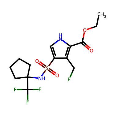 CCOC(=O)c1[nH]cc(S(=O)(=O)NC2(C(F)(F)F)CCCC2)c1CF